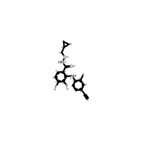 C#Cc1ccc(Nc2c(C(=O)NOCC3CC3)ccc(F)c2F)c(C)c1